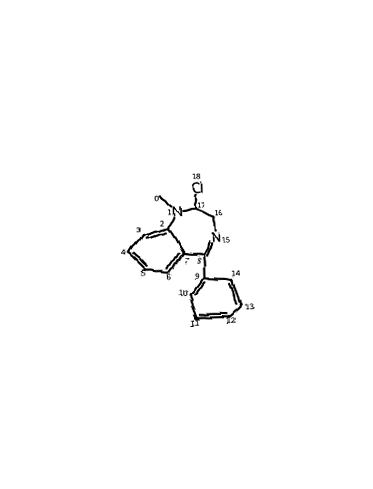 CN1c2ccccc2C(c2ccccc2)=NCC1Cl